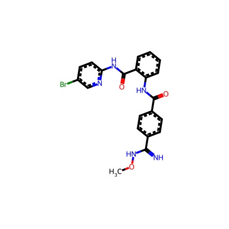 CONC(=N)c1ccc(C(=O)Nc2ccccc2C(=O)Nc2ccc(Br)cn2)cc1